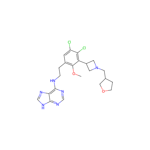 COc1c(CCNc2ncnc3[nH]cnc23)cc(Cl)c(Cl)c1C1CN(CC2CCOC2)C1